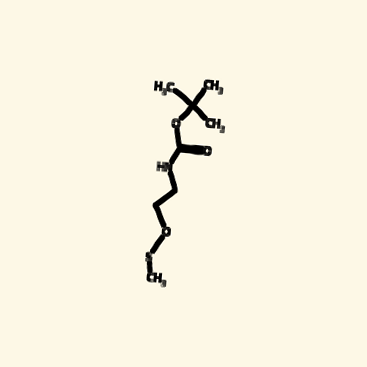 CSOCCNC(=O)OC(C)(C)C